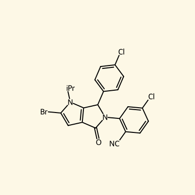 CC(C)n1c(Br)cc2c1C(c1ccc(Cl)cc1)N(c1cc(Cl)ccc1C#N)C2=O